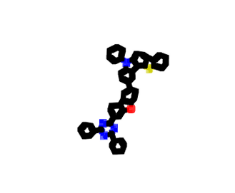 c1ccc(-c2nc(-c3ccccc3)nc(-c3ccc4c(c3)oc3ccc(-c5ccc6c(c5)c5c7sc8ccccc8c7ccc5n6-c5ccccc5)cc34)n2)cc1